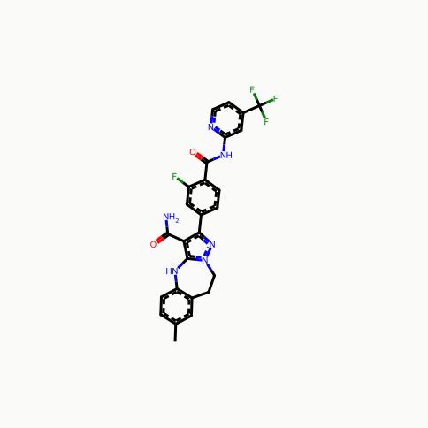 Cc1ccc2c(c1)CCn1nc(-c3ccc(C(=O)Nc4cc(C(F)(F)F)ccn4)c(F)c3)c(C(N)=O)c1N2